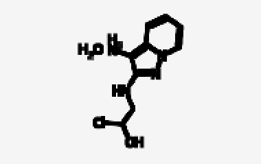 Nc1c(NCC(O)Cl)nn2ccccc12.O